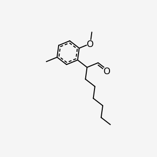 CCCCCCC(C=O)c1cc(C)ccc1OC